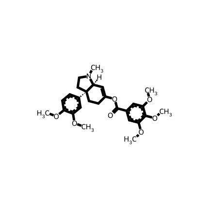 COc1ccc([C@@]23CCC(OC(=O)c4cc(OC)c(OC)c(OC)c4)=C[C@@H]2N(C)CC3)cc1OC